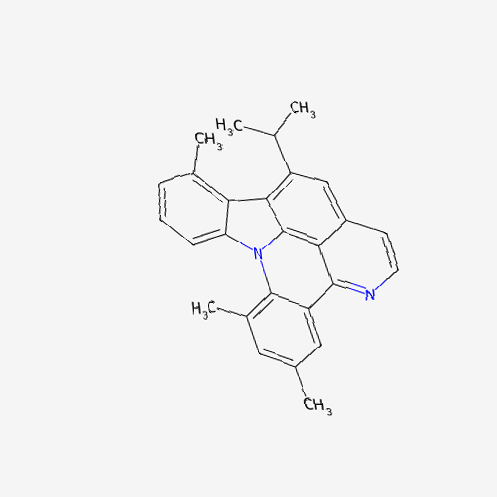 Cc1cc(C)c2c(c1)c1nccc3cc(C(C)C)c4c5c(C)cccc5n2c4c31